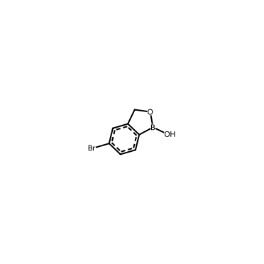 OB1OCc2cc(Br)ccc21